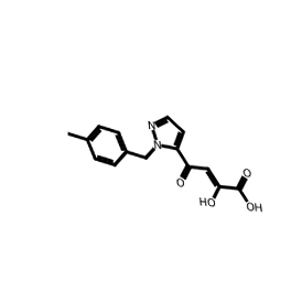 Cc1ccc(Cn2nccc2C(=O)C=C(O)C(=O)O)cc1